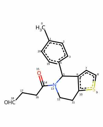 Cc1ccc(C2c3ccsc3CCN2C(=O)CCC=O)cc1